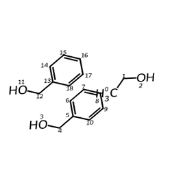 CCO.OCc1ccccc1.OCc1ccccc1